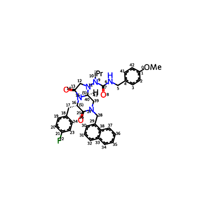 COc1ccc(CNC(=O)N(C(C)C)N2CC(=O)N3[C@@H](Cc4ccc(F)cc4)C(=O)N(Cc4cccc5ccccc45)C[C@@H]32)cc1